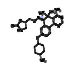 CC1(C)/C(=N/OCC2CNC(=O)O2)c2cc(OC3CCC(N)CC3)ccc2-c2ncnc(N)c21